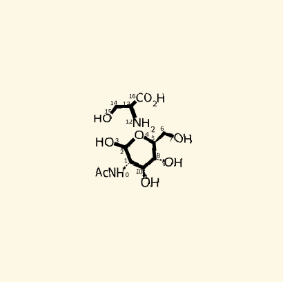 CC(=O)N[C@@H]1C(O)O[C@@H](CO)[C@H](O)[C@H]1O.NC(CO)C(=O)O